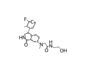 Cc1c(F)cccc1-c1c[nH]c(=O)c2cc(N(C)CC(=O)NCCO)ccc12